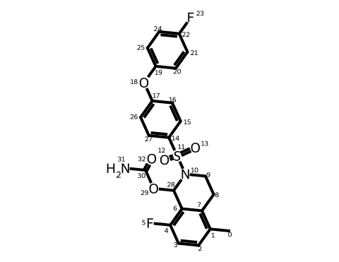 Cc1ccc(F)c2c1CCN(S(=O)(=O)c1ccc(Oc3ccc(F)cc3)cc1)C2OC(N)=O